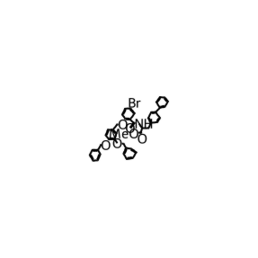 COC(=O)C(Cc1ccc(-c2ccccc2)cc1)NC(=O)c1cc(Br)ccc1OCc1ccc(OCc2ccccc2)c(OCc2ccccc2)c1